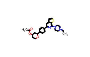 CCN1CCN(c2nc(-c3ccc(C4CC(OC(C)=O)CCO4)cc3)cc3ccsc23)CC1